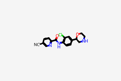 N#Cc1ccc(C(=O)Nc2ccc(C3CNCCO3)cc2Cl)nc1